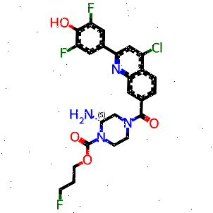 N[C@@H]1CN(C(=O)c2ccc3c(Cl)cc(-c4cc(F)c(O)c(F)c4)nc3c2)CCN1C(=O)OCCCF